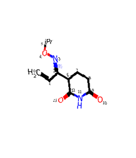 C=C/C(=N\OC(C)C)C1CCC(=O)NC1=O